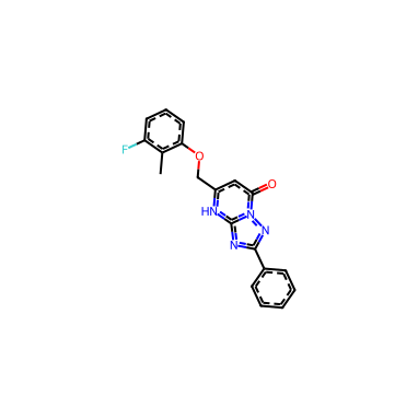 Cc1c(F)cccc1OCc1cc(=O)n2nc(-c3ccccc3)nc2[nH]1